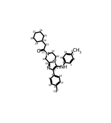 Cc1ccc(Nc2c(-c3ccc(F)cc3)nc3n2CCN(C(=O)CC2CCCCC2)C3)cc1